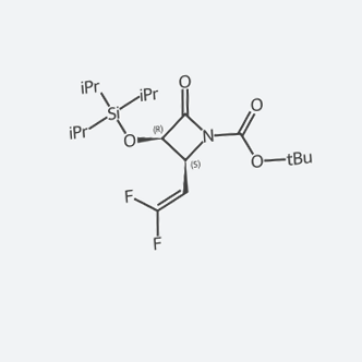 CC(C)[Si](O[C@H]1C(=O)N(C(=O)OC(C)(C)C)[C@H]1C=C(F)F)(C(C)C)C(C)C